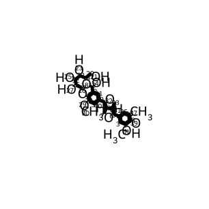 COc1cc(C2OC[C@@H]3C(c4cc(CO)c(OC5OC(CO)C(O)C(O)C5O)c(OC)c4)OC[C@H]23)cc(C)c1O